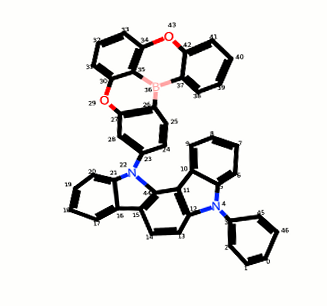 c1ccc(-n2c3ccccc3c3c2ccc2c4ccccc4n(-c4ccc5c(c4)Oc4cccc6c4B5c4ccccc4O6)c23)cc1